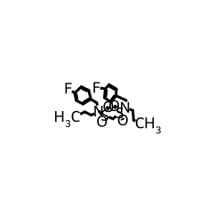 CCCN(Cc1ccc(F)cc1)S(=O)(=O)CS(=O)(=O)N(CCC)Cc1ccc(F)cc1